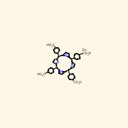 O=C(O)c1ccc(-c2c3nc(c(-c4ccc(C(=O)O)cc4)c4ccc([nH]4)c(-c4ccc(C(=O)O)cc4)c4nc(c(-c5ccc(C(=O)O)cc5)c5ccc2[nH]5)C=C4)C=C3)cc1.[Cu]